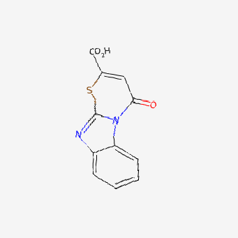 O=C(O)c1cc(=O)n2c(nc3ccccc32)s1